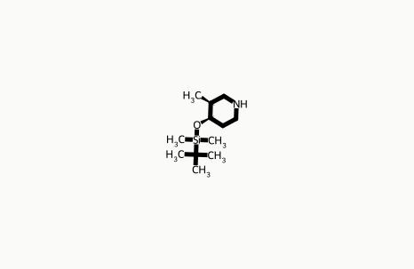 C[C@H]1CNCC[C@H]1O[Si](C)(C)C(C)(C)C